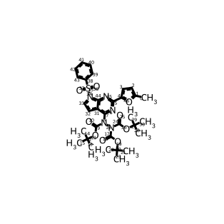 Cc1ccc(-c2nc(N(C(=O)OC(C)(C)C)N(C(=O)OC(C)(C)C)C(=O)OC(C)(C)C)c3ccn(S(=O)(=O)c4ccccc4)c3n2)o1